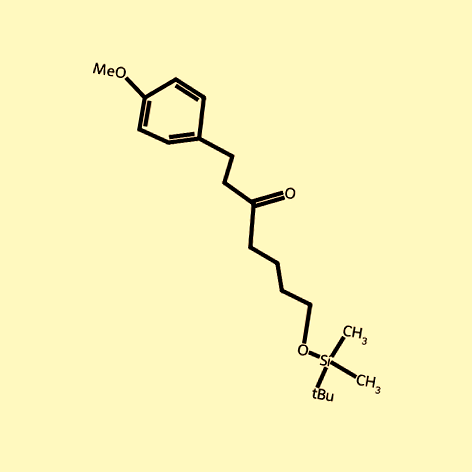 COc1ccc(CCC(=O)CCCCO[Si](C)(C)C(C)(C)C)cc1